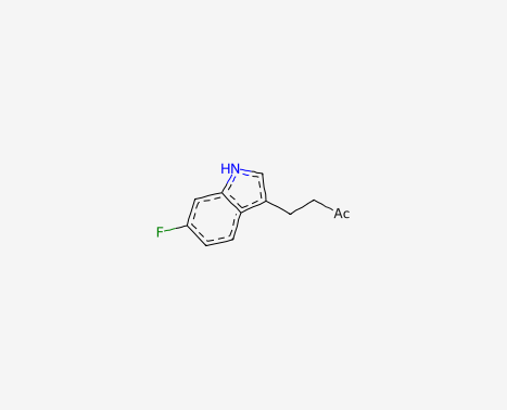 CC(=O)CCc1c[nH]c2cc(F)ccc12